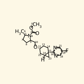 COC(=O)N1C(C)CCC1CO[C@@H]1CC[C@]2(c3ncc(F)cn3)C[C@@H]2C1